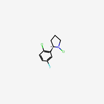 Fc1ccc(Cl)c([C@H]2CCCN2Cl)c1